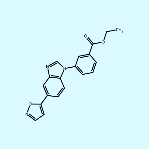 CCOC(=O)c1cccc(-n2cnc3cc(-c4ccno4)ccc32)c1